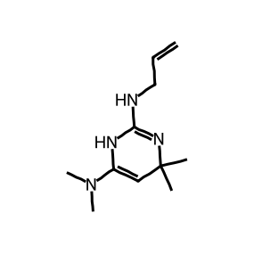 C=CCNC1=NC(C)(C)C=C(N(C)C)N1